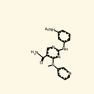 CC(=O)Nc1cccc(Nc2ncc(C(N)=O)c(N(C)c3cccnc3)n2)c1